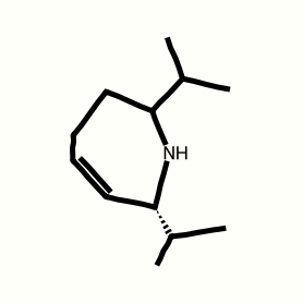 CC(C)C1CCC=C[C@@H](C(C)C)N1